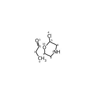 CCC=O.ClC1CNCCO1